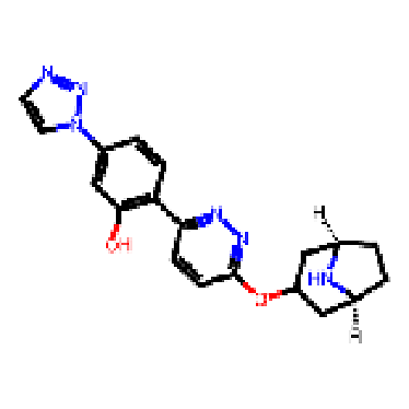 Oc1cc(-n2ccnn2)ccc1-c1ccc(OC2C[C@H]3CC[C@@H](C2)N3)nn1